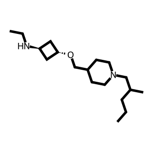 CCCC(C)CN1CCC(CO[C@H]2C[C@H](NCC)C2)CC1